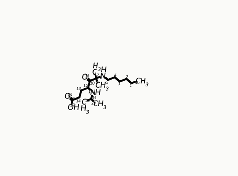 CCCCCCNC(C)(C)C(=O)C(CCC(=O)O)NC(C)C